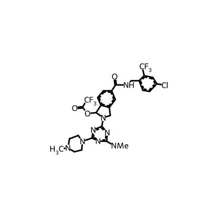 CNc1nc(N2CCN(C)CC2)nc(N2Cc3cc(C(=O)NCc4ccc(Cl)cc4C(F)(F)F)ccc3C2OC(=O)C(F)(F)F)n1